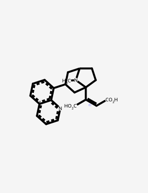 CN1C2CCC1(/C(=C\C(=O)O)C(=O)O)CC(c1cccc3cccnc13)C2